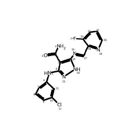 NC(=O)c1c(Nc2cccc(Cl)c2)n[nH]c1/N=C/c1ncccc1F